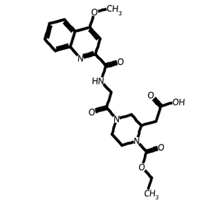 CCOC(=O)N1CCN(C(=O)CNC(=O)c2cc(OC)c3ccccc3n2)CC1CC(=O)O